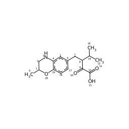 CC1CNc2cc(CC(C(=O)C(=O)O)C(C)C)ccc2O1